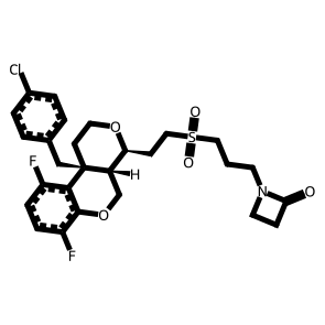 O=C1CCN1CCCS(=O)(=O)CC[C@@H]1OCC[C@@]2(Cc3ccc(Cl)cc3)c3c(F)ccc(F)c3OC[C@@H]12